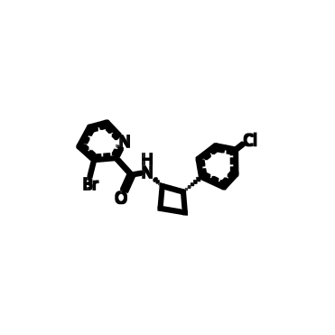 O=C(N[C@H]1CC[C@H]1c1ccc(Cl)cc1)c1ncccc1Br